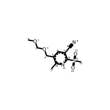 COCOCc1cc(C#N)c(S(C)(=O)=O)nc1C